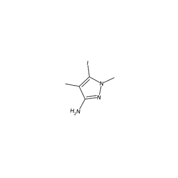 Cc1c(N)nn(C)c1I